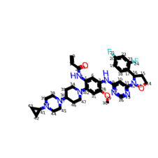 C=CC(=O)Nc1cc(Nc2cc(N3OCCC3c3ccc(F)cc3F)ncn2)c(OC)cc1N1CCC(N2CCN(C3CC3)CC2)CC1